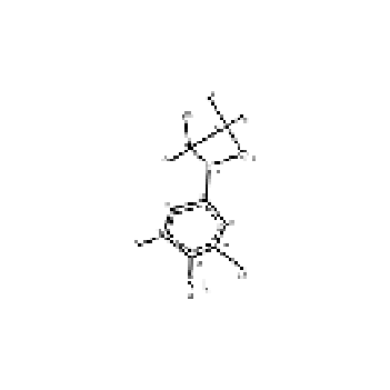 Cc1cc(B2OC(C)(C)C2(C)C)cc(C)c1N